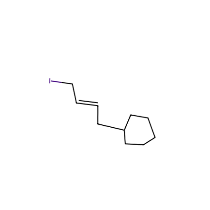 IC/C=C/CC1CCCCC1